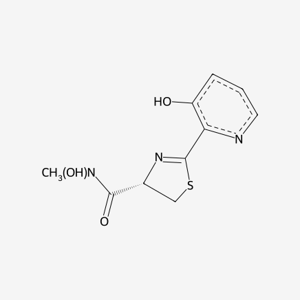 CN(O)C(=O)[C@H]1CSC(c2ncccc2O)=N1